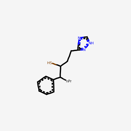 CCCC(c1ccccc1)C(S)CCc1nc[nH]n1